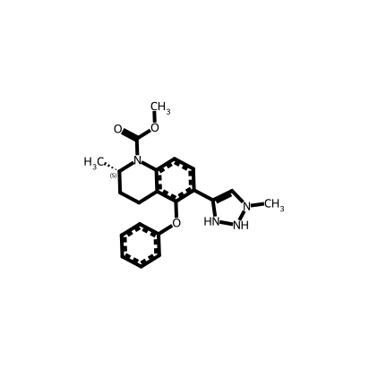 COC(=O)N1c2ccc(C3=CN(C)NN3)c(Oc3ccccc3)c2CC[C@@H]1C